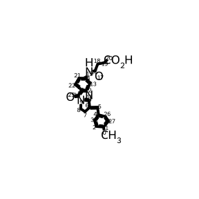 Cc1ccc(/C=C2\CCn3c2nc2cc(NC(=O)CCC(=O)O)ccc2c3=O)cc1